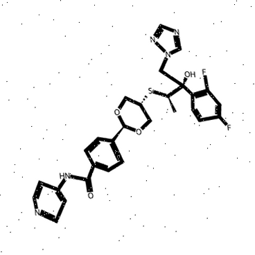 C[C@@H](S[C@H]1CO[C@H](c2ccc(C(=O)Nc3ccncc3)cc2)OC1)[C@](O)(Cn1cncn1)c1ccc(F)cc1F